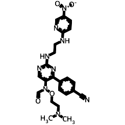 CN(C)CCON(C=O)c1cnc(NCCNc2ccc([N+](=O)[O-])cn2)nc1-c1ccc(C#N)cc1